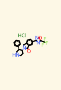 Cl.O=C1c2cc(-c3noc(C(F)(F)F)n3)ccc2CN1[C@@H]1CCNC[C@H]1c1ccccc1